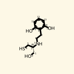 OC[C@H](CS)NCCc1c(O)cccc1O